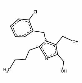 CCCCc1nc(CO)c(CO)n1Cc1ccccc1Cl